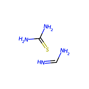 N=CN.NC(N)=S